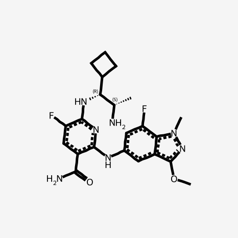 COc1nn(C)c2c(F)cc(Nc3nc(N[C@H](C4CCC4)[C@H](C)N)c(F)cc3C(N)=O)cc12